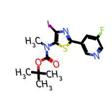 CN(C(=O)OC(C)(C)C)c1sc(-c2cncc(F)c2)nc1I